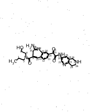 CCCN(CCO)C(=O)C1=Cc2ccc(C(=O)C(=O)Nc3cnc4c(c3)CNCC4)cc2N=C(N)C1